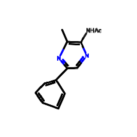 CC(=O)Nc1ncc(-c2ccccc2)nc1C